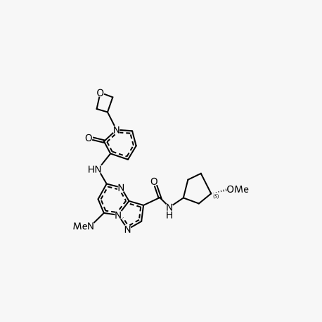 CNc1cc(Nc2cccn(C3COC3)c2=O)nc2c(C(=O)NC3CC[C@H](OC)C3)cnn12